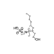 CCCCCCC(CCO)C(C)(C)N.CS(=O)(=O)O